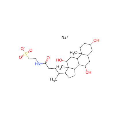 CC(CCC(=O)NCCS(=O)(=O)[O-])C1CCC2C3C(O)CC4CC(O)CCC4(C)C3CC(O)C12C.[Na+]